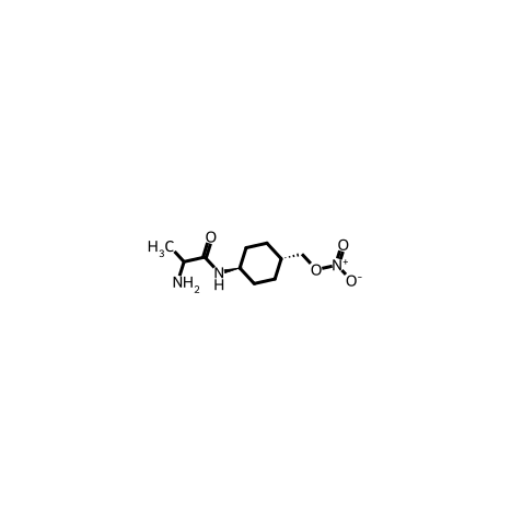 CC(N)C(=O)N[C@H]1CC[C@H](CO[N+](=O)[O-])CC1